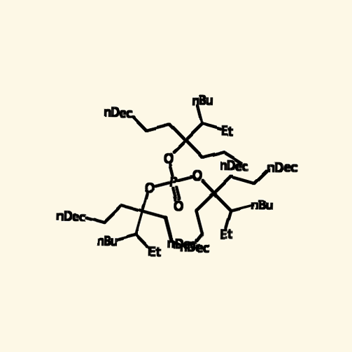 CCCCCCCCCCCCC(CCCCCCCCCCCC)(OP(=O)(OC(CCCCCCCCCCCC)(CCCCCCCCCCCC)C(CC)CCCC)OC(CCCCCCCCCCCC)(CCCCCCCCCCCC)C(CC)CCCC)C(CC)CCCC